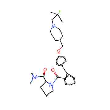 CN(C)C(=O)C1CCCN1C(=O)c1ccccc1-c1ccc(OCC2CCN(CC(C)(C)F)CC2)cc1